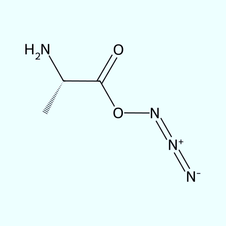 C[C@H](N)C(=O)ON=[N+]=[N-]